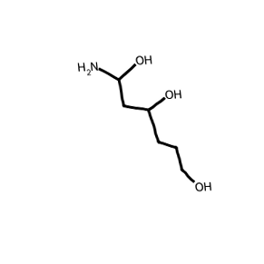 NC(O)CC(O)CCCO